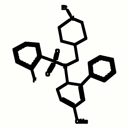 CCN1CCC(CN(C2CC=C(OC)C=C2c2ccccc2)S(=O)(=O)c2ccccc2F)CC1